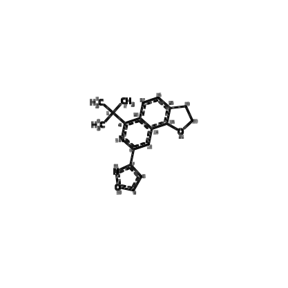 CC(C)(C)c1nc(-c2ccon2)cc2c3c(ccc12)CCO3